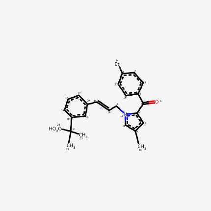 CCc1ccc(C(=O)c2cc(C)cn2C/C=C/c2cccc(C(C)(C)C(=O)O)c2)cc1